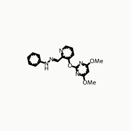 COc1cc(OC)nc(Oc2cccnc2/C=N/Nc2ccccc2)n1